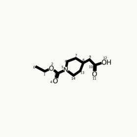 CCOC(=O)N1CCC(CC(=O)O)CC1